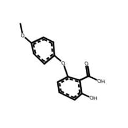 COc1ccc(Oc2cccc(O)c2C(=O)O)cc1